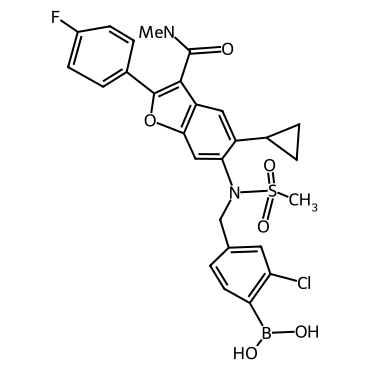 CNC(=O)c1c(-c2ccc(F)cc2)oc2cc(N(Cc3ccc(B(O)O)c(Cl)c3)S(C)(=O)=O)c(C3CC3)cc12